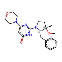 CO[C@@]1(C)CCN(c2nc(N3CCOCC3)cc(=O)[nH]2)[C@H]1Cc1ccccc1